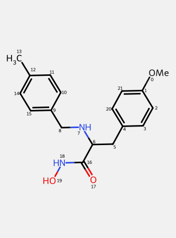 COc1ccc(CC(NCc2ccc(C)cc2)C(=O)NO)cc1